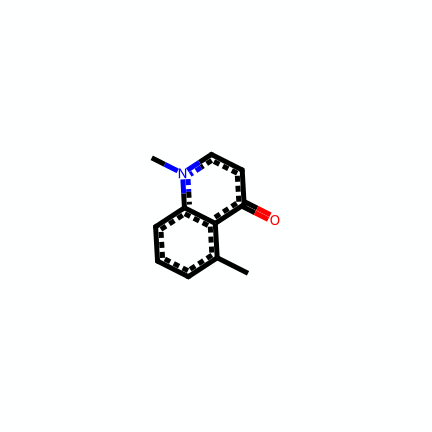 Cc1cccc2c1c(=O)ccn2C